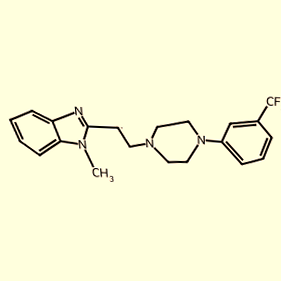 Cn1c([CH]CN2CCN(c3cccc(C(F)(F)F)c3)CC2)nc2ccccc21